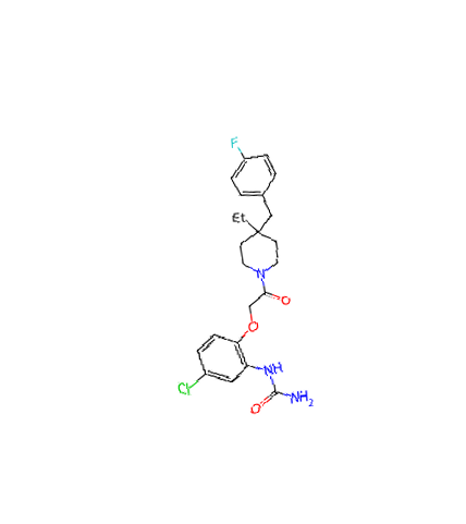 CCC1(Cc2ccc(F)cc2)CCN(C(=O)COc2ccc(Cl)cc2NC(N)=O)CC1